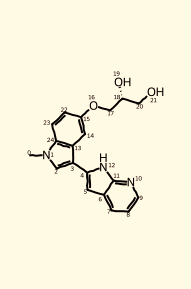 Cn1cc(-c2cc3cccnc3[nH]2)c2cc(OC[C@H](O)CO)ccc21